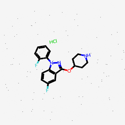 Cl.Fc1ccc2c(c1)c(OC1CCNCC1)nn2-c1ccccc1F